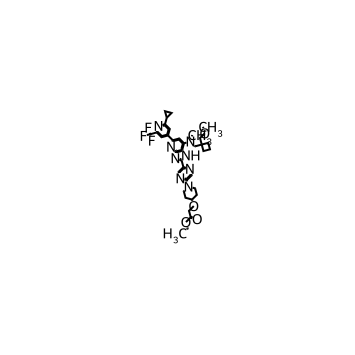 CCOC(=O)COC1CCN(c2cnc(-c3nc4nc(-c5cc(C6CC6)nc(C(F)(F)F)c5)cc(N(C)CC5(COC)CCC5)c4[nH]3)cn2)CC1